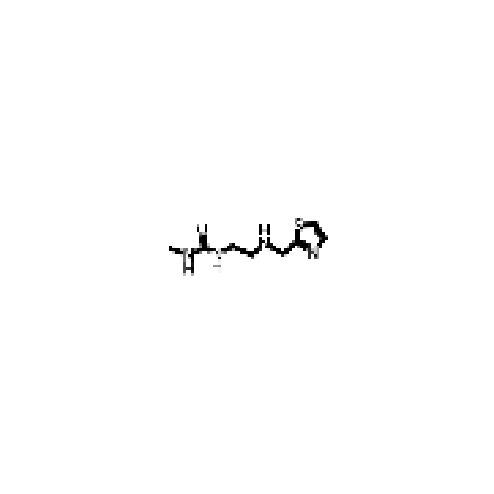 CNC(=O)NCCNCc1nccs1